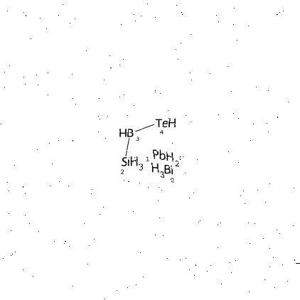 [BiH3].[PbH2].[SiH3]B[TeH]